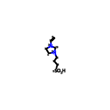 C=CN1CCN(CCCS(=O)(=O)O)C1